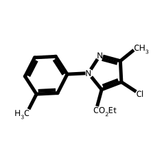 CCOC(=O)c1c(Cl)c(C)nn1-c1cccc(C)c1